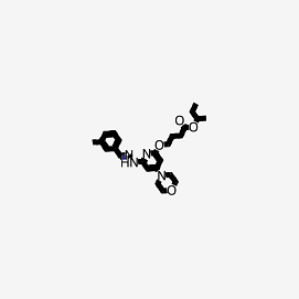 CCC(C)OC(=O)CCCOc1cc(N2CCOCC2)cc(N/N=C/c2cccc(C)c2)n1